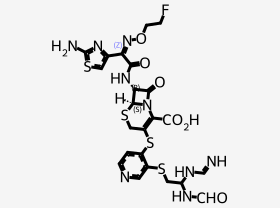 N=CNC(CSc1cnccc1SC1=C(C(=O)O)N2C(=O)[C@@H](NC(=O)/C(=N\OCCF)c3csc(N)n3)[C@@H]2SC1)NC=O